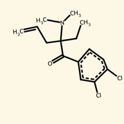 C=CCC(CC)(C(=O)c1ccc(Cl)c(Cl)c1)N(C)C